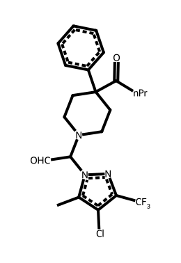 CCCC(=O)C1(c2ccccc2)CCN(C(C=O)n2nc(C(F)(F)F)c(Cl)c2C)CC1